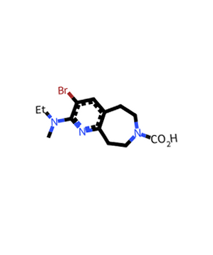 CCN(C)c1nc2c(cc1Br)CCN(C(=O)O)CC2